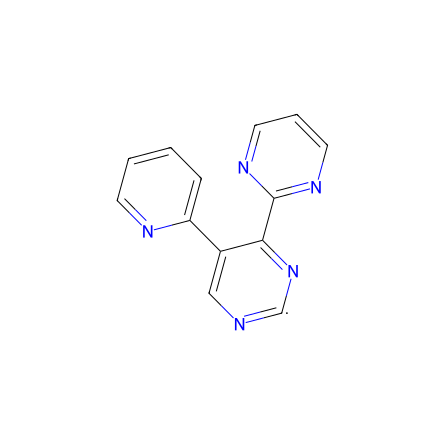 [c]1ncc(-c2ccccn2)c(-c2ncccn2)n1